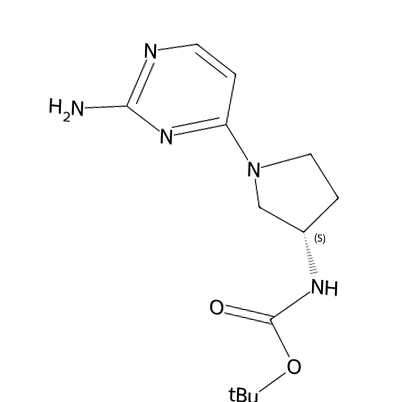 CC(C)(C)OC(=O)N[C@H]1CCN(c2ccnc(N)n2)C1